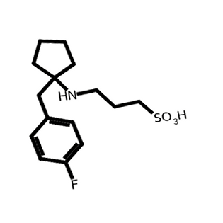 O=S(=O)(O)CCCNC1(Cc2ccc(F)cc2)CCCC1